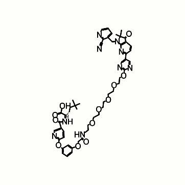 CC(C)(C)CC[C@H](NC(=O)c1ccc(Oc2cccc(OCC(=O)NCCOCCOCCOCCOCCOc3ncc(-c4ccc5c(n4)N(Cc4cccnc4C#N)C(C)(C)C5=O)cn3)c2)nc1)C(=O)O